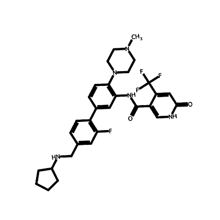 CN1CCN(c2ccc(-c3ccc(CNC4CCCC4)cc3F)cc2NC(=O)c2c[nH]c(=O)cc2C(F)(F)F)CC1